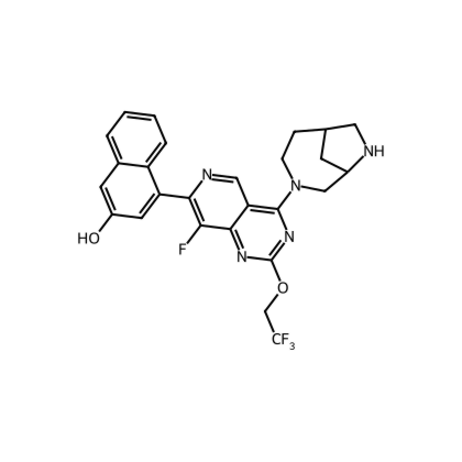 Oc1cc(-c2ncc3c(N4CCC5CNC(C5)C4)nc(OCC(F)(F)F)nc3c2F)c2ccccc2c1